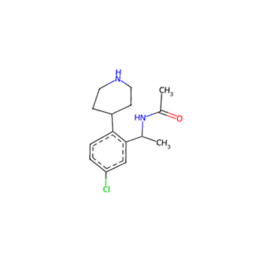 CC(=O)NC(C)c1cc(Cl)ccc1C1CCNCC1